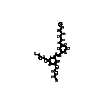 CCOCOc1cc(C=Cc2cccc(CCCCCC=O)c2)cc(OCOCC)c1